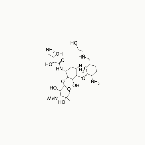 CN[C@@H]1C(O)[C@@H](OC2C(O)C(O[C@H]3O[C@H](CNCCO)CCC3N)[C@@H](N)C[C@H]2NC(=O)[C@@H](O)[C@@H](O)CN)OCC1(C)O